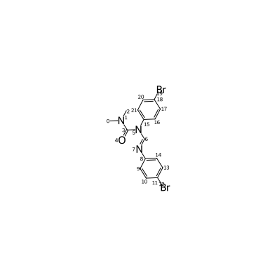 CN(C)C(=O)N(C=Nc1ccc(Br)cc1)c1ccc(Br)cc1